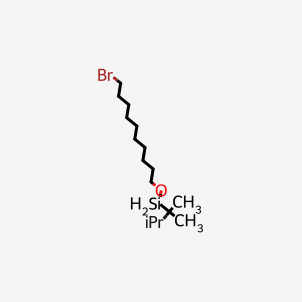 CC(C)C(C)(C)[SiH2]OCCCCCCCCCCBr